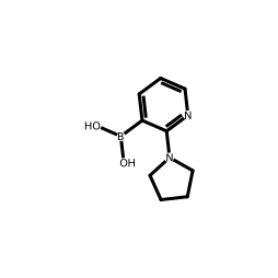 OB(O)c1cccnc1N1CCCC1